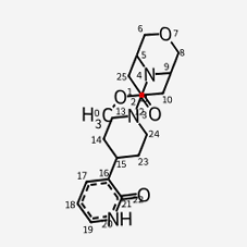 COC(=O)N1C2COCC1CC(N1CCC(c3ccc[nH]c3=O)CC1)C2